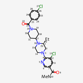 CC[C@H]1CN(c2ncc(C(=O)NC)cc2Cl)CCN1C1CCN(C(=O)c2ccc(Cl)cc2)CC1